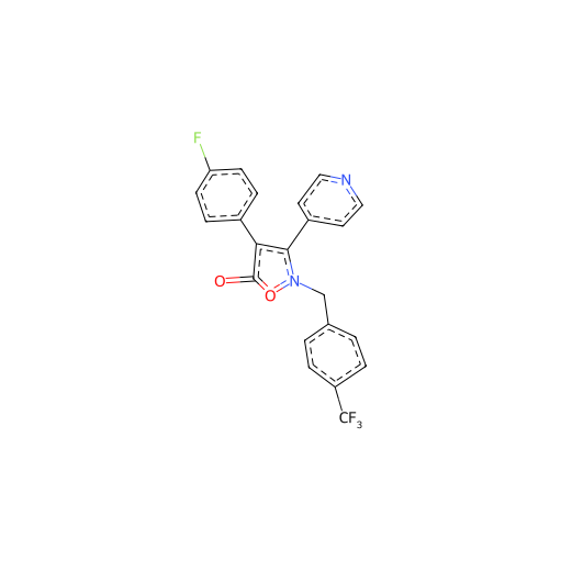 O=c1on(Cc2ccc(C(F)(F)F)cc2)c(-c2ccncc2)c1-c1ccc(F)cc1